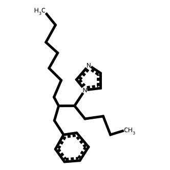 CCCCCCCC(Cc1ccccc1)C(CCCC)n1ccnc1